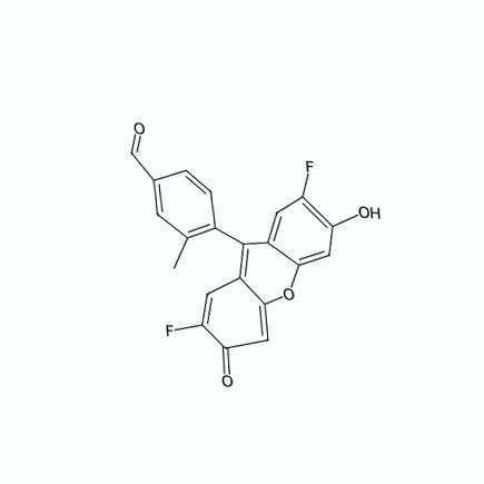 Cc1cc(C=O)ccc1-c1c2cc(F)c(=O)cc-2oc2cc(O)c(F)cc12